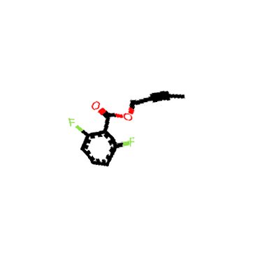 CC#CCOC(=O)c1c(F)cccc1F